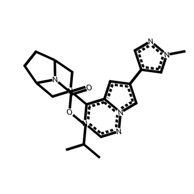 CC(C)COC(=O)N1C2CCC1CN(c1ncnn3cc(-c4cnn(C)c4)cc13)C2